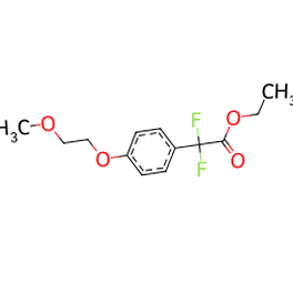 CCOC(=O)C(F)(F)c1ccc(OCCOC)cc1